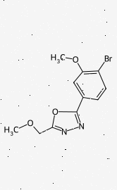 COCc1nnc(-c2ccc(Br)c(OC)c2)o1